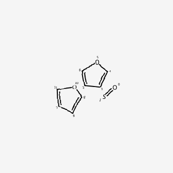 O=S.c1ccoc1.c1ccoc1